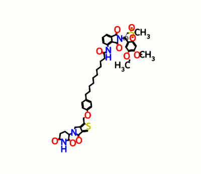 CCOc1cc([C@@H](CS(C)(=O)=O)N2C(=O)c3cccc(NC(=O)CCCCCCCCCCc4ccc(OCc5scc6c5CN(C5CCC(=O)NC5=O)C6=O)cc4)c3C2=O)ccc1OC